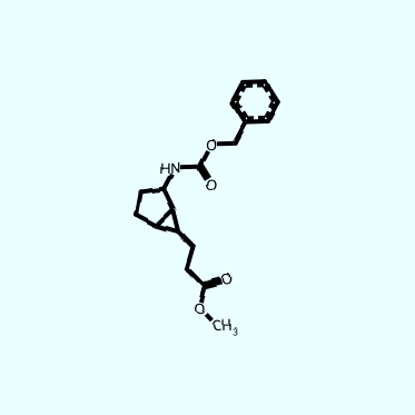 COC(=O)CCC1C2CCC(NC(=O)OCc3ccccc3)C12